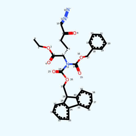 CCOC(=O)[C@H](CCC(=O)C=[N+]=[N-])N(C(=O)OCc1ccccc1)C(=O)OCC1c2ccccc2-c2ccccc21